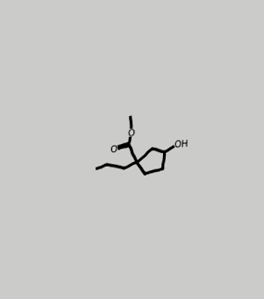 CCCC1(C(=O)OC)CCC(O)C1